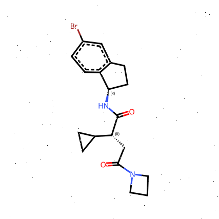 O=C(N[C@@H]1CCc2cc(Br)ccc21)[C@H](CC(=O)N1CCC1)C1CC1